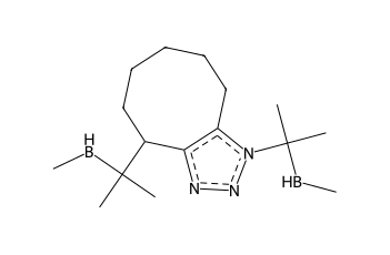 CBC(C)(C)C1CCCCCc2c1nnn2C(C)(C)BC